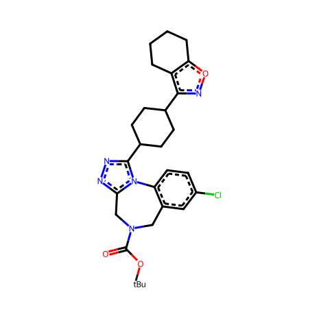 CC(C)(C)OC(=O)N1Cc2cc(Cl)ccc2-n2c(nnc2C2CCC(c3noc4c3CCCC4)CC2)C1